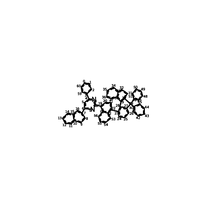 c1ccc(-c2cc(-c3ccc4ccccc4c3)nc(-c3ccc(-c4cccc5c4-c4c(ccc6ccccc46)C5(c4ccccc4)c4ccccc4)c4ccccc34)n2)cc1